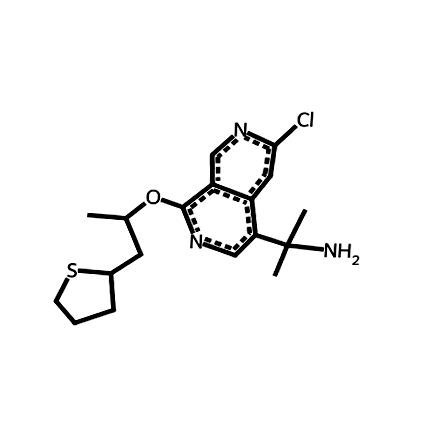 CC(CC1CCCS1)Oc1ncc(C(C)(C)N)c2cc(Cl)ncc12